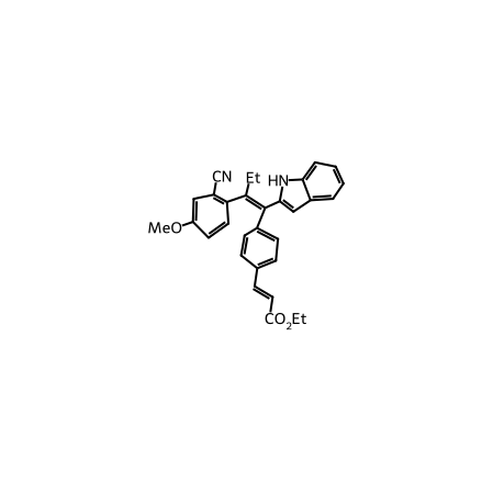 CCOC(=O)/C=C/c1ccc(/C(=C(/CC)c2ccc(OC)cc2C#N)c2cc3ccccc3[nH]2)cc1